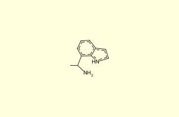 CC(N)c1cccc2cc[nH]c12